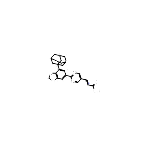 O=C(O)/C=C/c1cnc(-c2cc3c(c(C45CC6CC(CC(C6)C4)C5)c2)OCO3)nc1